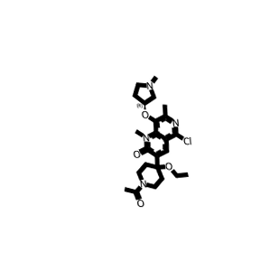 CCOC1(c2cc3c(Cl)nc(C)c(O[C@@H]4CCN(C)C4)c3n(C)c2=O)CCN(C(C)=O)CC1